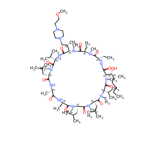 CCCC[C@@H](C)[C@@H](O)[C@H]1C(=O)N[C@@H](CC)C(=O)N(C)[C@H](C)C(=O)N(C)[C@@H]([C@@H](C)CN2CCN(CCOC)CC2)C(=O)N[C@@H](C(C)C)C(=O)N(C)[C@@H](CC(C)C)C(=O)N[C@@H](C)C(=O)N[C@H](C)C(=O)N(C)[C@@H](CC(C)C)C(=O)N(C)[C@@H](CC(C)C)C(=O)N(C)[C@@H](C(C)C)C(=O)N1C